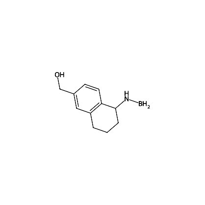 BNC1CCCc2cc(CO)ccc21